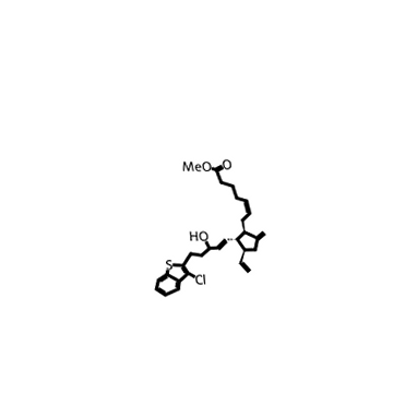 C=C[C@@H]1CC(=C)[C@H](C/C=C\CCCC(=O)OC)[C@H]1/C=C/C(O)CCc1sc2ccccc2c1Cl